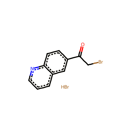 Br.O=C(CBr)c1ccc2ncccc2c1